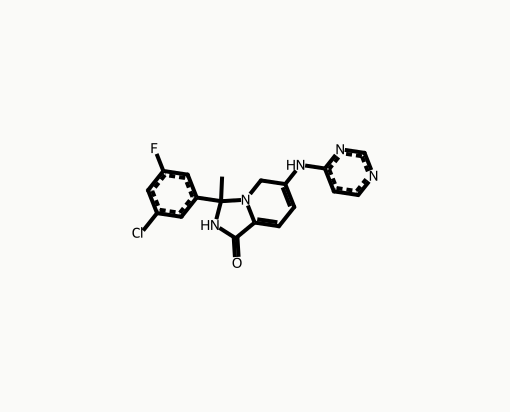 CC1(c2cc(F)cc(Cl)c2)NC(=O)C2=CC=C(Nc3ccncn3)CN21